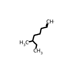 [CH]=CCCCC(C)CC